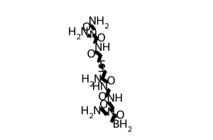 BCC(=O)N(CCNC(=O)CNC(=O)C(N)CSSCCC(=O)NCC(=O)N(CN)CC(N)=O)CC(N)=O